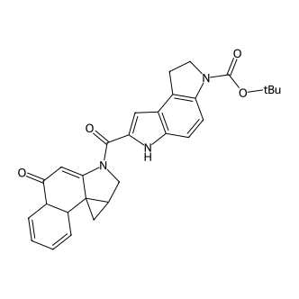 CC(C)(C)OC(=O)N1CCc2c1ccc1[nH]c(C(=O)N3CC4CC45C3=CC(=O)C3C=CC=CC35)cc21